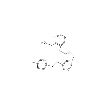 Cc1ccc(CCc2cccc3c2C(Cc2ccccc2CO)=CC3)cc1